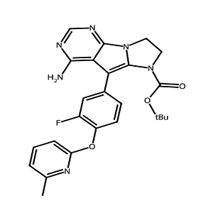 Cc1cccc(Oc2ccc(-c3c4n(c5ncnc(N)c35)CCN4C(=O)OC(C)(C)C)cc2F)n1